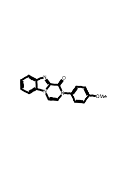 COc1ccc(-n2ccn3c(nc4ccccc43)c2=O)cc1